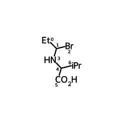 CCC(Br)NC(C(=O)O)C(C)C